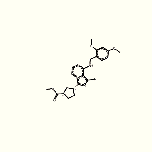 COC(=O)[C@@H]1CC[C@@H](c2nc(Br)c3c(NCc4ccc(OC)cc4OC)nccn23)C1